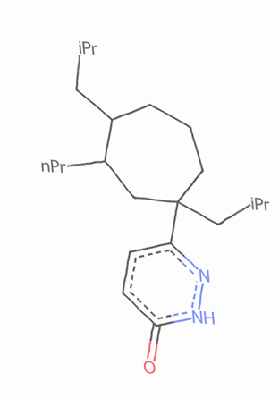 CCCC1CC(CC(C)C)(c2ccc(=O)[nH]n2)CCCC1CC(C)C